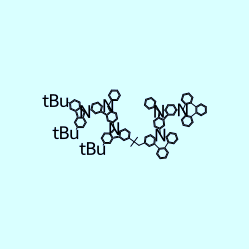 CC(C)(C)c1ccc2c(c1)c1cc(C(C)(C)C)ccc1n2-c1ccc2c(c1)c1cc(-n3c4ccc(C(C)(C)C)cc4c4cc(C(C)(C)Cc5ccc6c(c5)-c5ccccc5-c5ccccc5N6c5ccc6c(c5)c5cc(N7c8ccccc8-c8ccccc8-c8ccccc87)ccc5n6-c5ccccc5)ccc43)ccc1n2-c1ccccc1